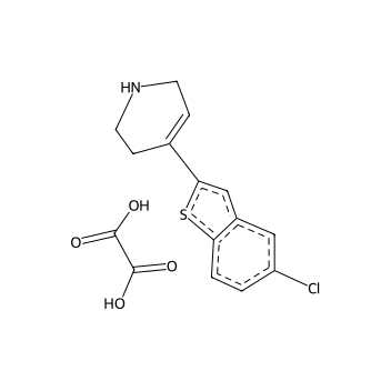 Clc1ccc2sc(C3=CCNCC3)cc2c1.O=C(O)C(=O)O